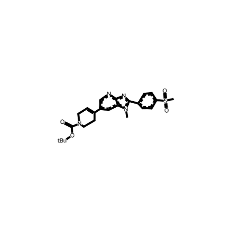 Cn1c(-c2ccc(S(C)(=O)=O)cc2)nc2ncc(C3=CCN(C(=O)OC(C)(C)C)CC3)cc21